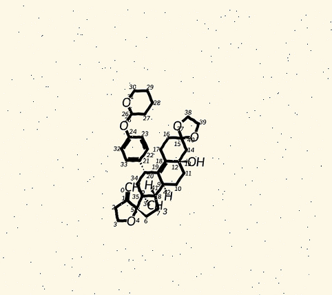 C=C1CCO[C@]12CC[C@H]1[C@@H]3CC[C@@]4(O)CC5(CCC4=C3[C@@H](c3ccc(OC4CCCCO4)cc3)C[C@@]12C)OCCO5